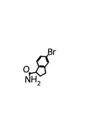 NC(=O)C1CCc2cc(Br)ccc21